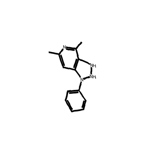 Cc1cc2c(c(C)n1)NNN2c1ccccc1